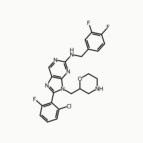 Fc1ccc(CNc2ncc3nc(-c4c(F)cccc4Cl)n(CC4CNCCO4)c3n2)cc1F